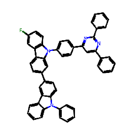 Fc1ccc2c(c1)c1ccc(-c3ccc4c(c3)c3ccccc3n4-c3ccccc3)cc1n2-c1ccc(-c2cc(-c3ccccc3)nc(-c3ccccc3)n2)cc1